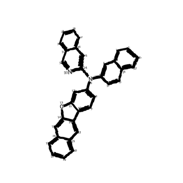 c1ccc2cc(N(c3ccc4c(c3)oc3cc5ccccc5cc34)c3cc4ccccc4cn3)ccc2c1